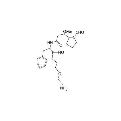 COC(CC(=O)NC(Cc1ccccc1)P(CCCOCCN)N=O)C1CCCN1C=O